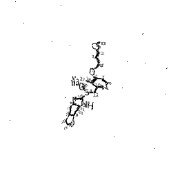 COCCCOc1ccnc(C[S+]([O-])c2nc3cc4c(cc3[nH]2)OCC4)c1C.[Na]